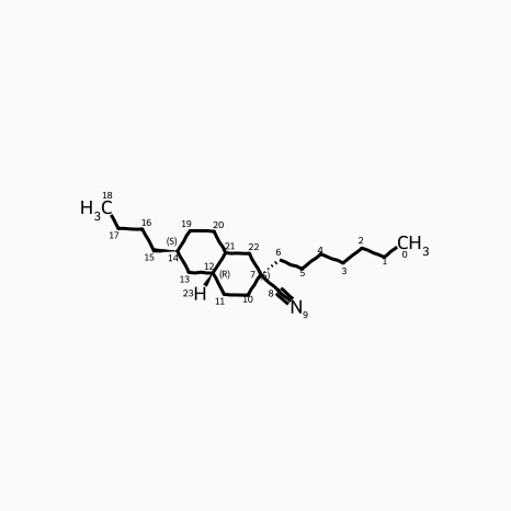 CCCCCCC[C@]1(C#N)CC[C@@H]2C[C@@H](CCCC)CCC2C1